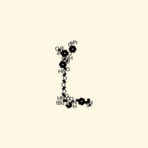 CCCOc1cccc(Oc2cc3c(cc2NS(=O)(=O)c2cccc(C(=O)NCCOCCOCCOCC(=O)NC(C(=O)N4CCC[C@H]4C(=O)NCc4ccc(-c5scnc5C)cc4)C(C)(C)C)c2)n(C)c(=O)n3C)c1